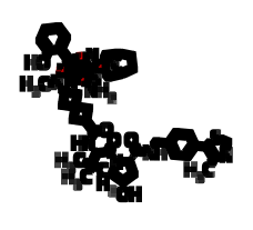 Cc1ncsc1-c1ccc(CNC(=O)[C@@H]2C[C@@H](O)CN2C(=O)[C@@H](NC(=O)C2CC3(C2)CC(N(C)Cc2cnc(N4C5CCC4CN(c4cc(-c6ccccc6O)nnc4N)C5)nc2)C3)C(C)(C)C)cc1